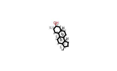 C[C@@H]1CC[C@H]2[C@@H]3CC[C@H]4C[C@H](O)[C@@H](C)C[C@]4(C)[C@H]3CC[C@]12C